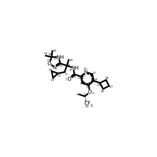 C[C@H](Oc1cc(C(=O)NC(C)(CC2CC2)C2=NOC(C)(C)N2)ncc1C1CCC1)C(F)(F)F